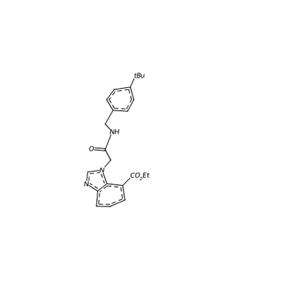 CCOC(=O)c1cccc2ncn(CC(=O)NCc3ccc(C(C)(C)C)cc3)c12